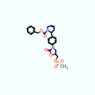 CS(=O)(=O)OCC1CN(c2ccc(C3CC=CCN3C(=O)OCc3ccccc3)cc2)C(=O)O1